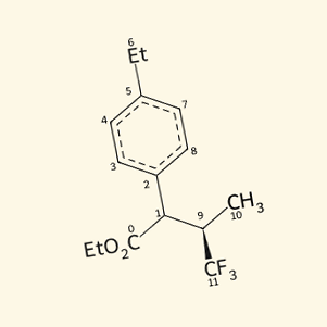 CCOC(=O)C(c1ccc(CC)cc1)[C@@H](C)C(F)(F)F